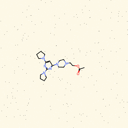 CC(=O)OCCN1CCN(c2cc(N3CCCC3)nc(N3CCCC3)n2)CC1